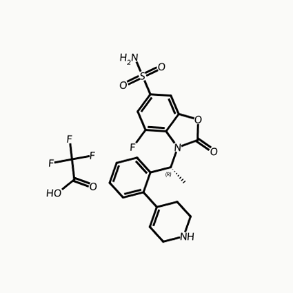 C[C@H](c1ccccc1C1=CCNCC1)n1c(=O)oc2cc(S(N)(=O)=O)cc(F)c21.O=C(O)C(F)(F)F